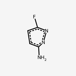 Nc1ccc(F)nn1